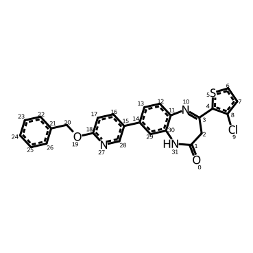 O=C1CC(c2sccc2Cl)=Nc2ccc(-c3ccc(OCc4ccccc4)nc3)cc2N1